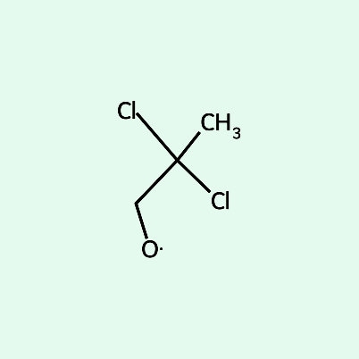 CC(Cl)(Cl)C[O]